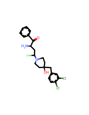 NC(CC(F)N1CCC(O)(Cc2ccc(Cl)c(Cl)c2)CC1)C(=O)c1ccccc1